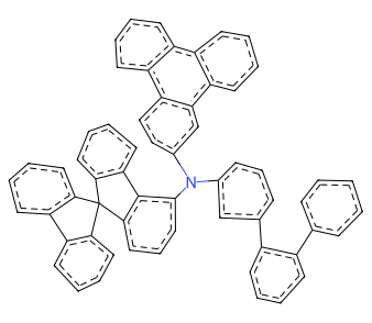 c1ccc(-c2ccccc2-c2cccc(N(c3ccc4c5ccccc5c5ccccc5c4c3)c3cccc4c3-c3ccccc3C43c4ccccc4-c4ccccc43)c2)cc1